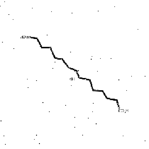 CCCCCCCCCCCCCCCCCCCCCCCC(=O)O.[KH]